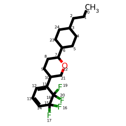 CCCC1CCC(C2CCC(C3=CC=CC(F)(F)C3(F)F)CO2)CC1